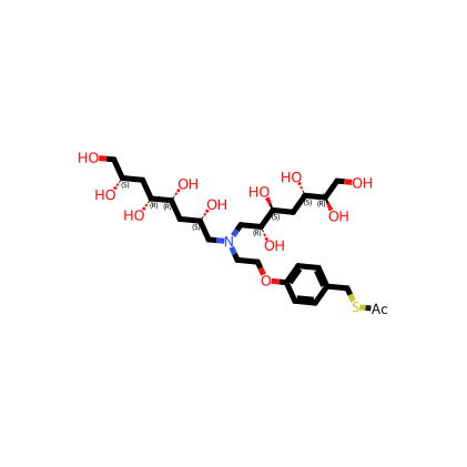 CC(=O)SCc1ccc(OCCN(C[C@@H](O)C[C@@H](O)[C@H](O)C[C@H](O)CO)C[C@@H](O)[C@@H](O)C[C@H](O)[C@H](O)CO)cc1